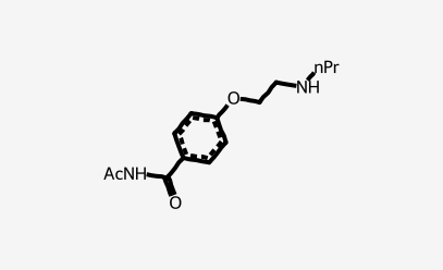 CCCNCCOc1ccc(C(=O)NC(C)=O)cc1